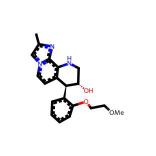 COCCOc1ccccc1[C@H]1c2ccn3cc(C)nc3c2NC[C@@H]1O